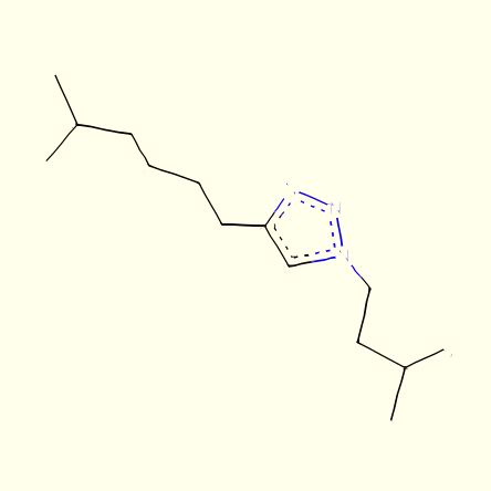 CC(C)CCCCc1cn(CCC(C)C)nn1